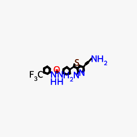 NCC#Cc1cnc(N)c2c(-c3ccc(NC(=O)Nc4cccc(C(F)(F)F)c4)cc3)csc12